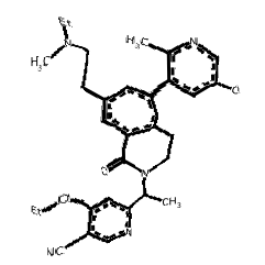 CCOc1cc(C(C)N2CCc3c(cc(CCN(C)CC)cc3-c3cc(Cl)cnc3C)C2=O)ncc1C#N